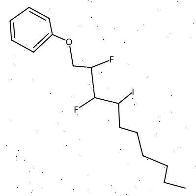 CCCCCCC(I)C(F)C(F)COc1ccccc1